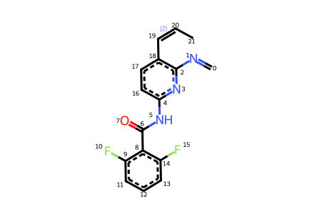 C=Nc1nc(NC(=O)c2c(F)cccc2F)ccc1/C=C\C